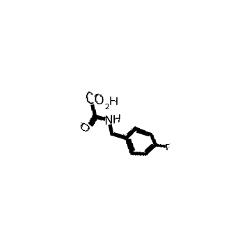 O=C(O)C(=O)NCc1ccc(F)cc1